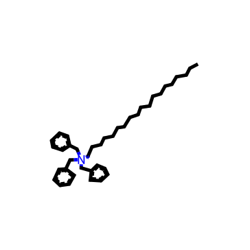 CCCCCCCCCCCCCCCCCCC[N+](Cc1ccccc1)(Cc1ccccc1)Cc1ccccc1